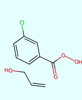 C=CCO.O=C(OO)c1cccc(Cl)c1